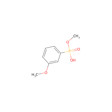 COc1cccc(P(=O)(O)OC)c1